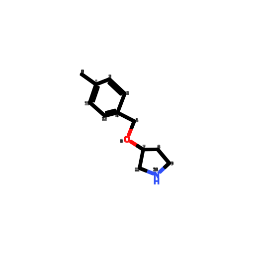 Cc1ccc(COC2CCNC2)cc1